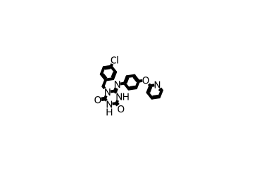 O=c1[nH]c(=O)n(Cc2ccc(Cl)cc2)c(=Nc2ccc(Oc3ccccn3)cc2)[nH]1